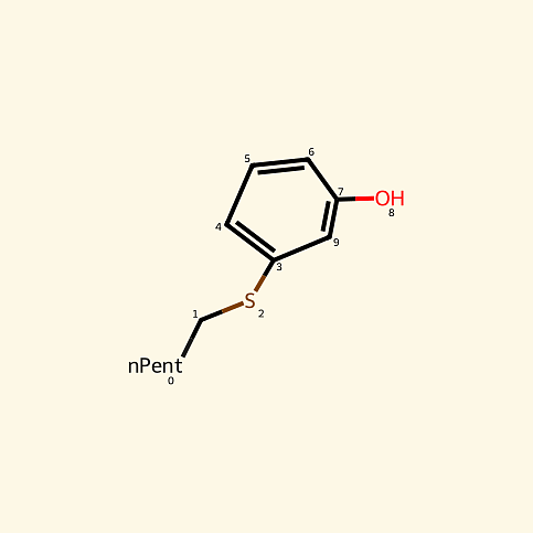 CCCCCCSc1cccc(O)c1